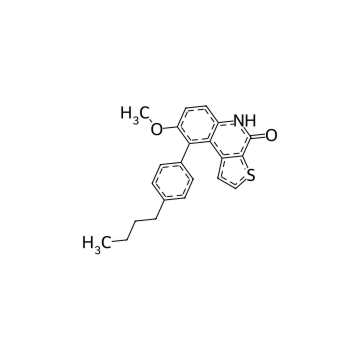 CCCCc1ccc(-c2c(OC)ccc3[nH]c(=O)c4sccc4c23)cc1